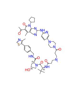 CC(=O)c1c(C)c2cnc(Nc3ccc(N4CCN(C(=O)CCN(C)CCC(=O)N[C@H](C(=O)N5C[C@H](O)C[C@H]5C(=O)NCc5ccc(-c6scnc6C)cc5)C(C)(C)C)CC4)cn3)nc2n(C2CCCC2)c1=O